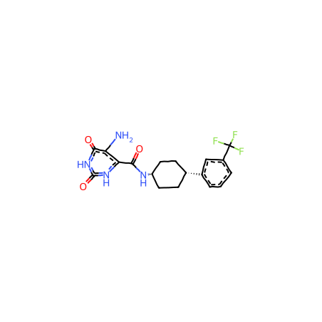 Nc1c(C(=O)N[C@H]2CC[C@@H](c3cccc(C(F)(F)F)c3)CC2)[nH]c(=O)[nH]c1=O